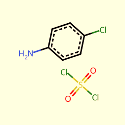 Nc1ccc(Cl)cc1.O=S(=O)(Cl)Cl